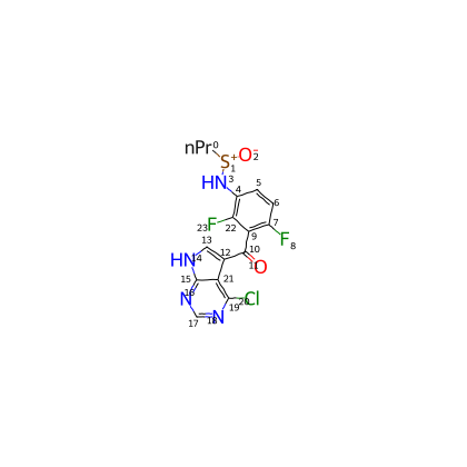 CCC[S+]([O-])Nc1ccc(F)c(C(=O)c2c[nH]c3ncnc(Cl)c23)c1F